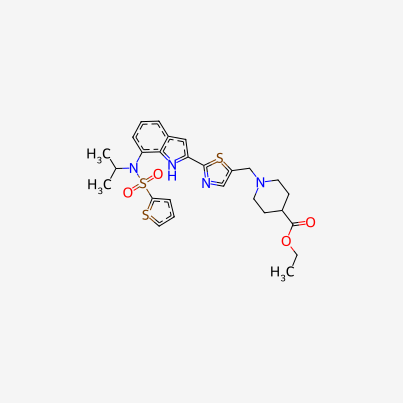 CCOC(=O)C1CCN(Cc2cnc(-c3cc4cccc(N(C(C)C)S(=O)(=O)c5cccs5)c4[nH]3)s2)CC1